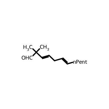 CCCCCC=CCC=CC(C)(C)C=O